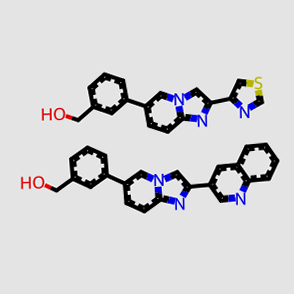 OCc1cccc(-c2ccc3nc(-c4cnc5ccccc5c4)cn3c2)c1.OCc1cccc(-c2ccc3nc(-c4cscn4)cn3c2)c1